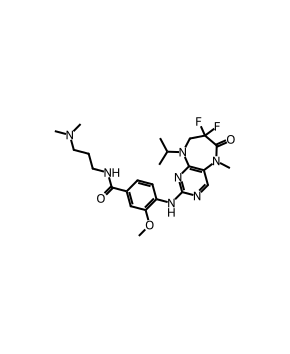 COc1cc(C(=O)NCCCN(C)C)ccc1Nc1ncc2c(n1)N(C(C)C)CC(F)(F)C(=O)N2C